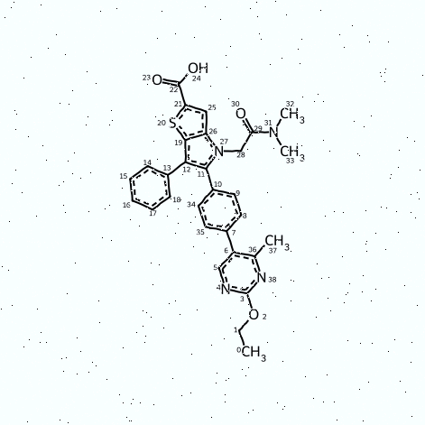 CCOc1ncc(-c2ccc(-c3c(-c4ccccc4)c4sc(C(=O)O)cc4n3CC(=O)N(C)C)cc2)c(C)n1